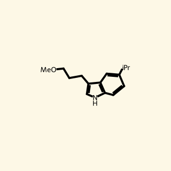 COCCCc1c[nH]c2ccc(C(C)C)cc12